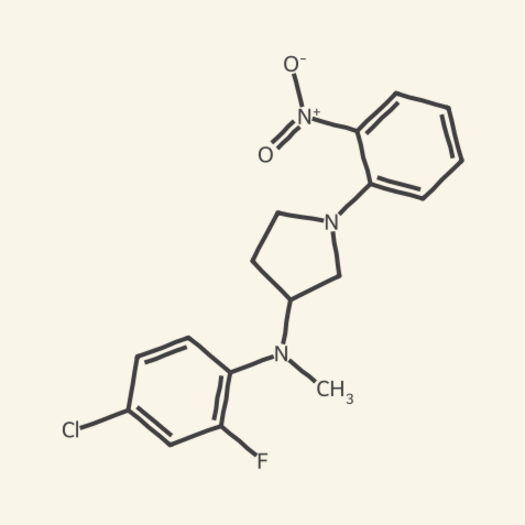 CN(c1ccc(Cl)cc1F)C1CCN(c2ccccc2[N+](=O)[O-])C1